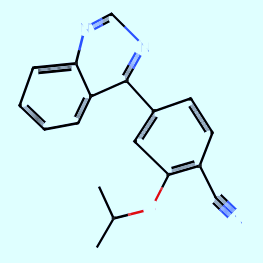 CC(C)Oc1cc(-c2ncnc3ccccc23)ccc1C#N